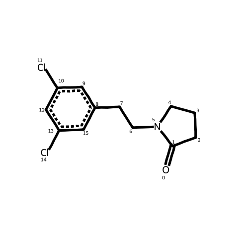 O=C1CCCN1CCc1cc(Cl)cc(Cl)c1